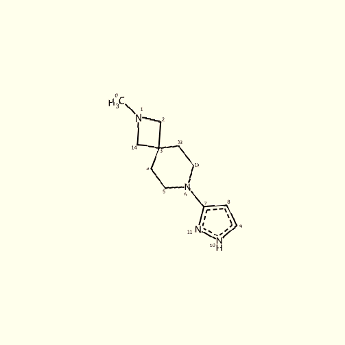 CN1CC2(CCN(c3cc[nH]n3)CC2)C1